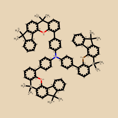 CC1(C)c2cccc(-c3ccc(N(c4ccc(-c5cccc6c5Oc5c(ccc7c5-c5ccccc5C7(C)C)[Si]6(C)C)cc4)c4ccc(-c5cccc6c5Sc5c(ccc7c5-c5ccccc5C7(C)C)[Si]6(C)C)cc4)cc3)c2Oc2c1ccc1c2-c2ccccc2C1(C)C